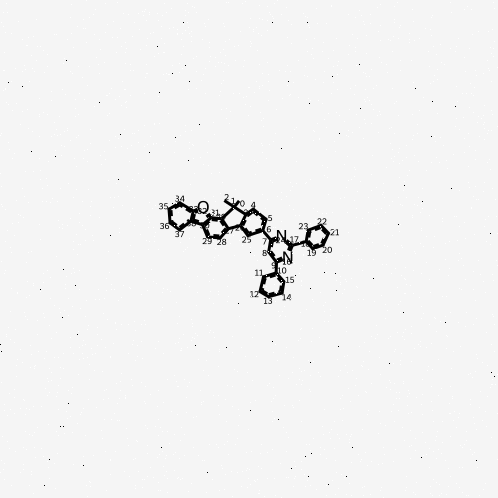 CC1(C)c2ccc(-c3cc(-c4ccccc4)nc(-c4ccccc4)n3)cc2-c2ccc3c(oc4ccccc43)c21